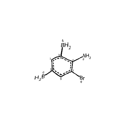 Bc1cc(B)c(N)c(Br)c1